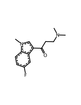 CN(C)CCC(=O)c1cn(C)c2ccc(F)cc12